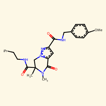 COc1ccc(CNC(=O)c2cc3n(n2)CC(C)(C(=O)NCCC(C)C)N(C)C3=O)cc1